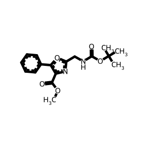 COC(=O)c1nc(CNC(=O)OC(C)(C)C)oc1-c1ccccc1